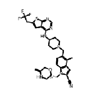 C=C1CO[C@H](Cn2c(C#N)cc3c(C)c(CN4CCC(Nc5ncnc6sc(CC(F)(F)F)cc56)CC4)ccc32)CN1